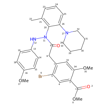 COC(=O)c1cc(Br)c(CC(=O)N(Nc2ccc(OC)cc2)c2c(C)cccc2N2CCCCC2)cc1OC